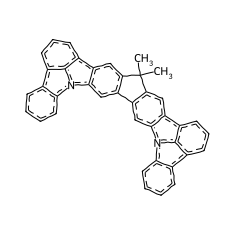 CC1(C)c2cc3c4cccc5c6ccccc6n(c3cc2-c2cc3c(cc21)c1cccc2c6ccccc6n3c21)c54